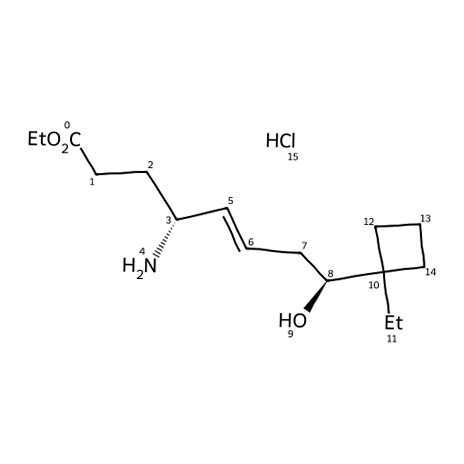 CCOC(=O)CC[C@@H](N)/C=C/C[C@H](O)C1(CC)CCC1.Cl